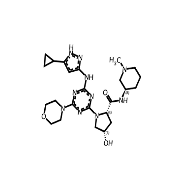 CN1CCC[C@@H](NC(=O)[C@@H]2C[C@H](O)CN2c2nc(Nc3cc(C4CC4)[nH]n3)nc(N3CCOCC3)n2)C1